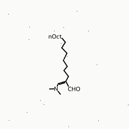 CCCCCCCCCCCCCCCC(C=O)=CN(C)C